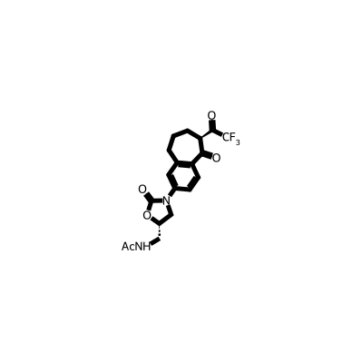 CC(=O)NC[C@H]1CN(c2ccc3c(c2)CCC[C@@H](C(=O)C(F)(F)F)C3=O)C(=O)O1